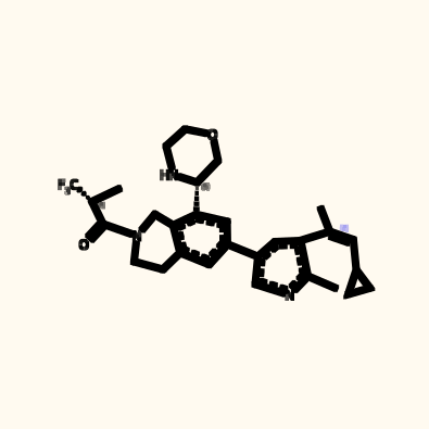 C/C(=C/C1CC1)c1cc(-c2cc3c(c([C@H]4COCCN4)c2)CN(C(=O)[C@@H](C)C(F)(F)F)CC3)cnc1C